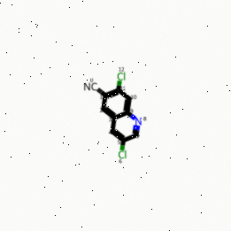 N#Cc1cc2cc(Cl)cnc2cc1Cl